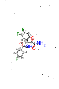 NC(=O)c1oc2cc(F)c(F)cc2c1NC(=O)c1ccc(F)cc1